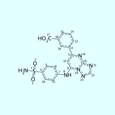 NS(=O)(=O)c1ccc(Nc2cc(-c3cccc(C(=O)O)c3)nc3ncnn23)cc1